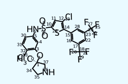 C[C@@]1(Oc2cc(NS(=O)(=O)c3cc(Cl)c(-c4cc(C(F)(F)F)cc(C(F)(F)F)c4)s3)ccc2Cl)CCNC1